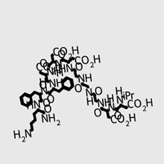 CC(C)NC(CC(=O)O)C(=O)NC(CC(=O)O)C(=O)NCC(=O)NCC(=O)NCC(=O)NC(CC(=O)O)C(=O)NC(CC(=O)O)C(=O)NC(CC(=O)O)C(=O)NC(Cc1ccccc1)C(=O)NC(Cc1ccccc1)C(=O)NC(CCCCN)C(N)=O